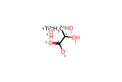 CC(O)C(=O)[O-].[OH-].[OH-].[Ti+3]